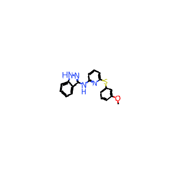 COc1cccc(Sc2cccc(Nc3n[nH]c4ccccc34)n2)c1